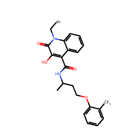 CC(C)Cn1c(=O)c(O)c(C(=O)NC(C)CCOc2ccccc2C(F)(F)F)c2ccccc21